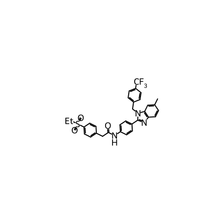 CCS(=O)(=O)c1ccc(CC(=O)Nc2ccc(-c3nc4ccc(C)cc4n3Cc3ccc(C(F)(F)F)cc3)cc2)cc1